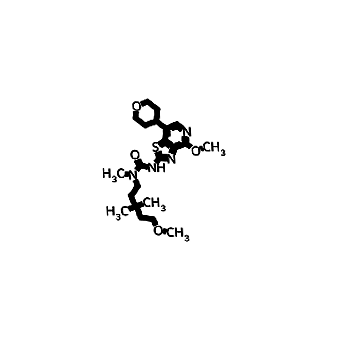 COCCC(C)(C)CCN(C)C(=O)Nc1nc2c(OC)ncc(C3CCOCC3)c2s1